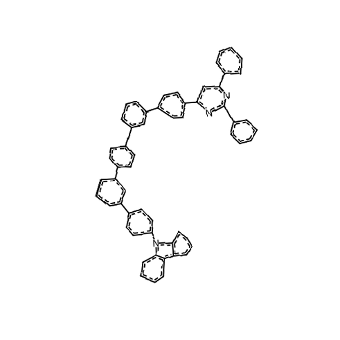 c1ccc(-c2cc(-c3ccc(-c4cccc(-c5ccc(-c6cccc(-c7ccc(-n8c9ccccc9c9ccccc98)cc7)c6)cc5)c4)cc3)nc(-c3ccccc3)n2)cc1